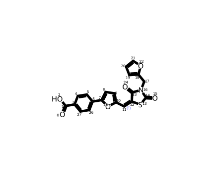 O=C(O)c1ccc(-c2ccc(/C=C3/SC(=O)N(Cc4ccco4)C3=O)o2)cc1